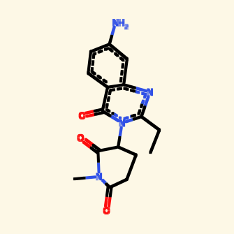 CCc1nc2cc(N)ccc2c(=O)n1C1CCC(=O)N(C)C1=O